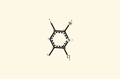 Cc1cc(I)c(Br)nc1Cl